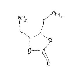 NCC1OC(=O)OC1CP